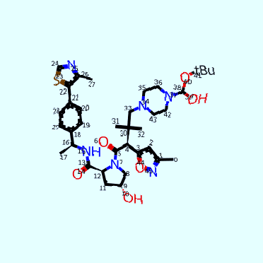 Cc1cc([C@@H](C(=O)N2C[C@H](O)C[C@H]2C(=O)N[C@@H](C)c2ccc(-c3scnc3C)cc2)C(C)(C)CN2CCN(C(O)OC(C)(C)C)CC2)on1